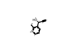 C#C[C@H](O)c1cccnc1C